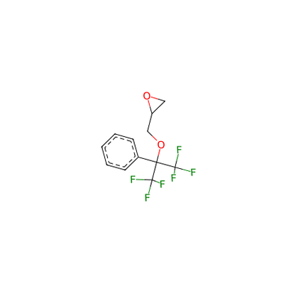 FC(F)(F)C(OCC1CO1)(c1ccccc1)C(F)(F)F